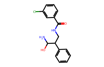 NC(O)C(CNC(=O)c1cccc(Cl)c1)c1ccccc1